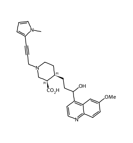 COc1ccc2nccc(C(O)CC[C@@H]3CCN(CC#Cc4cccn4C)C[C@@H]3C(=O)O)c2c1